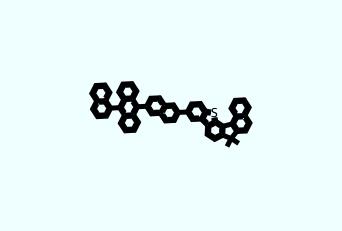 CC1(C)c2ccc3ccccc3c2-c2c1ccc1c2sc2ccc(-c3ccc4cc(-c5c6ccccc6c(-c6cccc7ccccc67)c6ccccc56)ccc4c3)cc21